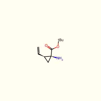 C=C[C@@H]1C[C@@]1(N)C(=O)OC(C)(C)C